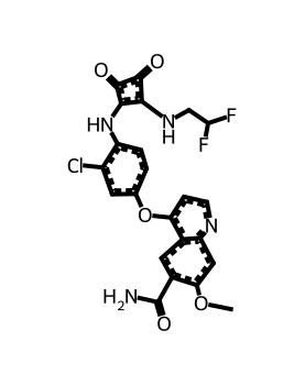 COc1cc2nccc(Oc3ccc(Nc4c(NCC(F)F)c(=O)c4=O)c(Cl)c3)c2cc1C(N)=O